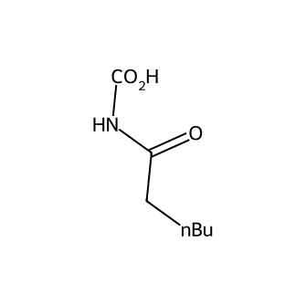 CCCCCC(=O)NC(=O)O